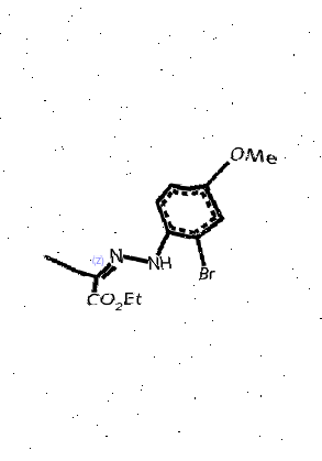 CCOC(=O)/C(C)=N\Nc1ccc(OC)cc1Br